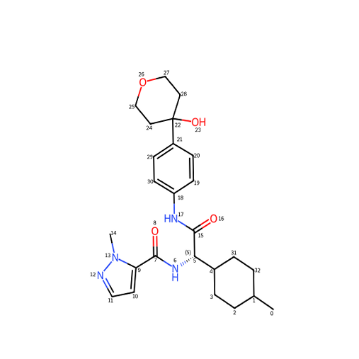 CC1CCC([C@H](NC(=O)c2ccnn2C)C(=O)Nc2ccc(C3(O)CCOCC3)cc2)CC1